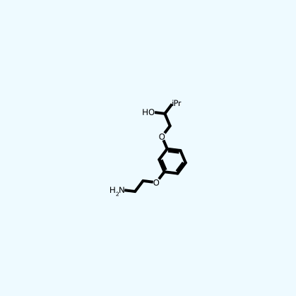 CC(C)C(O)COc1cccc(OCCN)c1